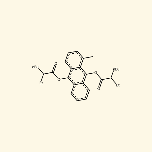 CCCCC(CC)C(=O)Oc1c2ccccc2c(OC(=O)C(CC)CCCC)c2c(C)cccc12